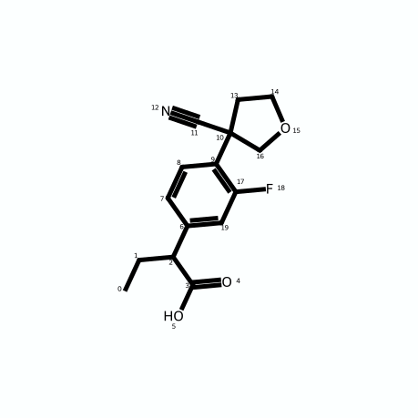 CCC(C(=O)O)c1ccc(C2(C#N)CCOC2)c(F)c1